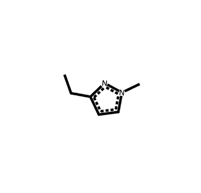 CCc1ccn(C)n1